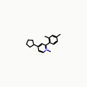 Cc1ccc(-c2cc(C3CCCC3)cc[n+]2C)c(C)c1